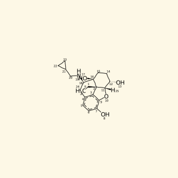 CC[C@]12c3c4ccc(O)c3O[C@H]1[C@@H](O)CC[C@@]2(O)[C@H](NCC1CC1)C4